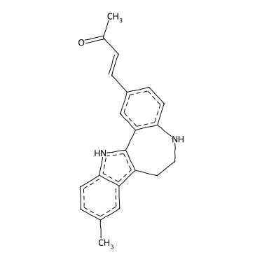 CC(=O)C=Cc1ccc2c(c1)-c1[nH]c3ccc(C)cc3c1CCN2